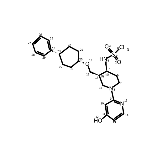 CS(=O)(=O)N[C@H]1CCN(c2cc(O)ccn2)C[C@H]1CO[C@H]1CC[C@@H](c2ccccc2)CC1